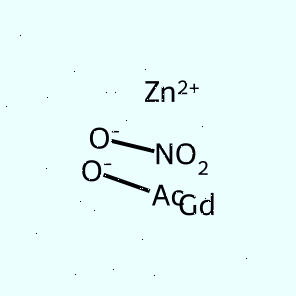 CC(=O)[O-].O=[N+]([O-])[O-].[Gd].[Zn+2]